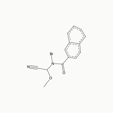 COC(C#N)N(Br)C(=O)c1ccc2ccccc2c1